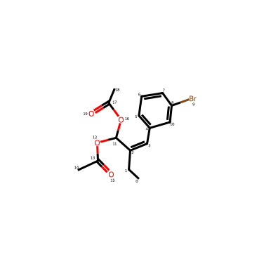 CCC(=Cc1cccc(Br)c1)C(OC(C)=O)OC(C)=O